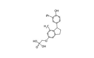 Cc1cc(OCP(=O)(O)O)cc2c1C(c1ccc(O)c(C(C)C)c1)CC2